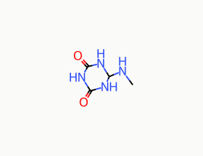 CNC1NC(=O)NC(=O)N1